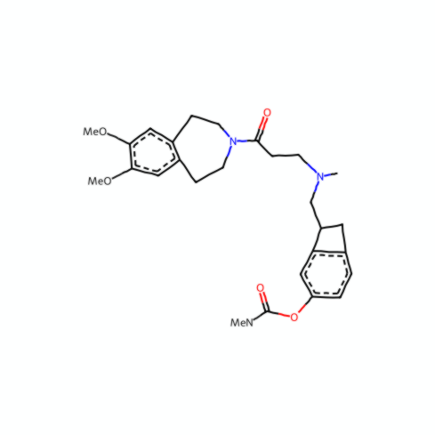 CNC(=O)Oc1ccc2c(c1)C(CN(C)CCC(=O)N1CCc3cc(OC)c(OC)cc3CC1)C2